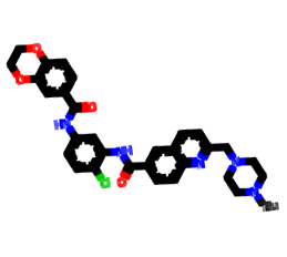 CCC(C)N1CCN(Cc2ccc3cc(C(=O)Nc4cc(NC(=O)c5ccc6c(c5)OCCO6)ccc4Cl)ccc3n2)CC1